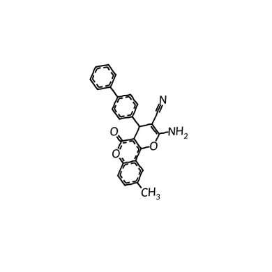 Cc1ccc2oc(=O)c3c(c2c1)OC(N)=C(C#N)C3c1ccc(-c2ccccc2)cc1